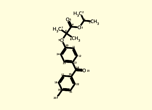 CC(C)OC(=O)C(C)(C)Oc1ccc(C(=O)c2ccc(I)cc2)cc1